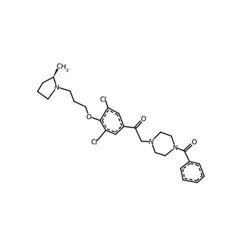 C[C@@H]1CCCN1CCCOc1c(Cl)cc(C(=O)CN2CCN(C(=O)c3ccccc3)CC2)cc1Cl